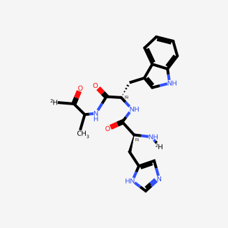 [2H]N[C@@H](Cc1cnc[nH]1)C(=O)N[C@@H](Cc1c[nH]c2ccccc12)C(=O)NC(C)C([2H])=O